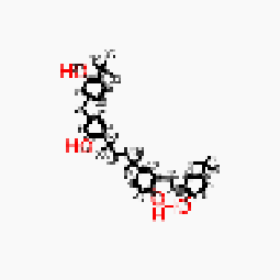 CC(C)(C)c1ccc(O)c(CCc2cc(C(C)(C)CCC(C)(C)c3ccc(Cc4ccc(C(C)(C)C)c(O)c4)cc3O)ccc2O)c1